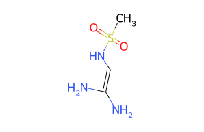 CS(=O)(=O)NC=C(N)N